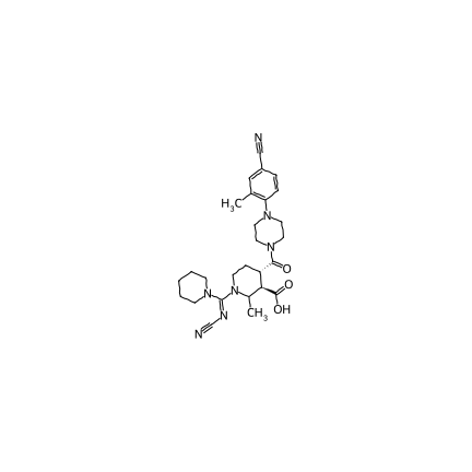 Cc1cc(C#N)ccc1N1CCN(C(=O)[C@H]2CCN(C(=NC#N)N3CCCCC3)C(C)[C@@H]2C(=O)O)CC1